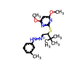 COc1cc(OC)nc(SC(/C=N/Nc2cccc(C)c2)C(C)(C)C)n1